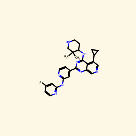 CC1(C)CNCCC1Nc1nc(-c2ccnc(Nc3cc(C(F)(F)F)ccn3)c2)nc2cncc(C3CC3)c12